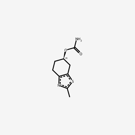 Cc1nc2c(s1)C[C@H](OC(N)=O)CC2